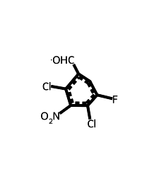 O=[C]c1cc(F)c(Cl)c([N+](=O)[O-])c1Cl